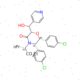 CCC[C@@H](C(=O)OCC)N1C(=O)C(C(O)c2ccncc2)O[C@H](c2ccc(Cl)cc2)[C@@H]1c1ccc(Cl)cc1